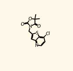 CC1(C)OC(=O)N(Cc2cc3nccc(Cl)c3s2)C1=O